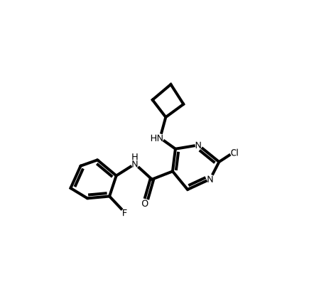 O=C(Nc1ccccc1F)c1cnc(Cl)nc1NC1CCC1